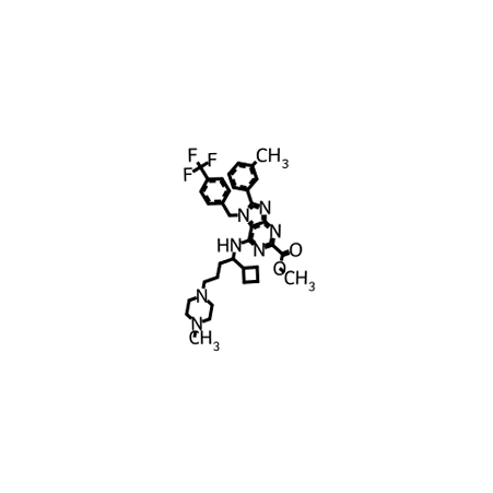 COC(=O)c1nc(NC(CCCN2CCN(C)CC2)C2CCC2)c2c(n1)nc(-c1cccc(C)c1)n2Cc1ccc(C(F)(F)F)cc1